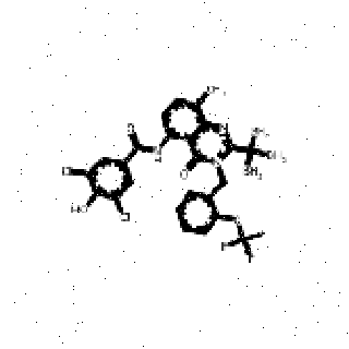 BC(B)(B)c1nc2c(C)ccc(NC(=O)c3cc(Cl)c(O)c(Cl)c3)c2c(=O)n1Cc1ccccc1OC(F)(F)F